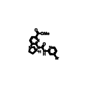 COC(=O)c1ccc2c(n1)N(C(=O)Nc1cc(Br)ccn1)[C@H]1CCN2C1